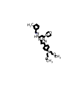 COCCN(CCOC)c1ccc(-c2cc3nc(N/N=C/c4cccc(C)c4)cc(N4CCOCC4)n3n2)cc1